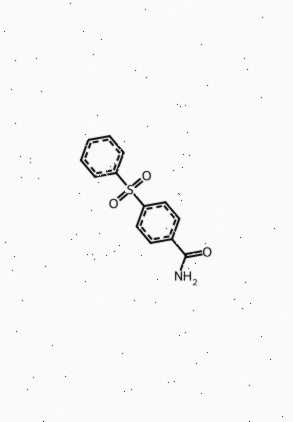 NC(=O)c1ccc(S(=O)(=O)c2ccccc2)cc1